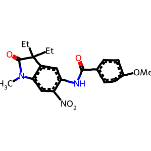 CCC1(CC)C(=O)N(C)c2cc([N+](=O)[O-])c(NC(=O)c3ccc(OC)cc3)cc21